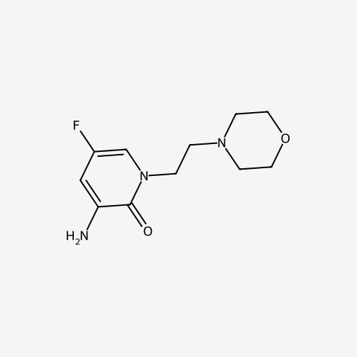 Nc1cc(F)cn(CCN2CCOCC2)c1=O